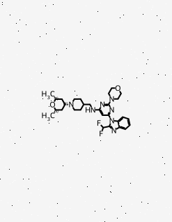 C[C@@H]1C[C@H](N2CCC(CNc3cc(-n4c(C(F)F)nc5ccccc54)nc(N4CCOCC4)n3)CC2)C[C@H](C)O1